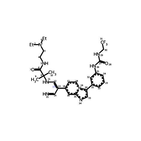 CCN(CC)CCNC(=O)C(C)(C)N/C=C(\C=N)c1ccn2c(-c3cccc(NC(=O)NCC(F)(F)F)c3)cnc2c1